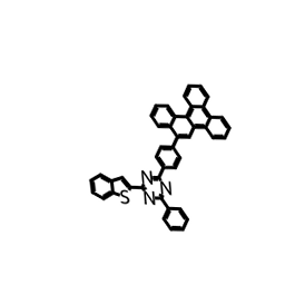 c1ccc(-c2nc(-c3ccc(-c4cc5c6ccccc6c6ccccc6c5c5ccccc45)cc3)nc(-c3cc4ccccc4s3)n2)cc1